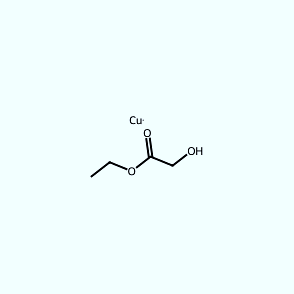 CCOC(=O)CO.[Cu]